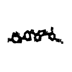 Nc1ccc(N2CCc3c(OC4CCN(c5ncc(F)cn5)CC4)ncnc32)c(F)c1